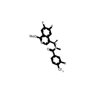 COc1ncc([C@@H](C)N(C)C(=O)c2ccc(C(F)(F)F)c(F)c2)c2cc(F)c(F)cc12